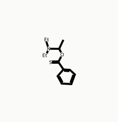 CCN(CC)C(C)OC(=S)c1ccccc1